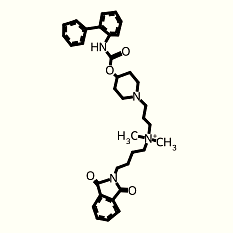 C[N+](C)(CCCCN1C(=O)c2ccccc2C1=O)CCCN1CCC(OC(=O)Nc2ccccc2-c2ccccc2)CC1